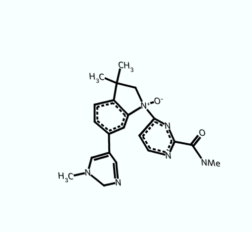 CNC(=O)c1nccc([N+]2([O-])CC(C)(C)c3ccc(C4=CN(C)CN=C4)cc32)n1